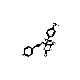 Cc1ccc(S(=O)(=O)C2(CC#Cc3ccc(F)cc3)SC(=O)NC2=O)cc1